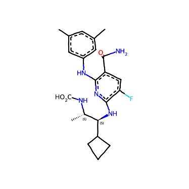 Cc1cc(C)cc(Nc2nc(N[C@@H](C3CCC3)[C@H](C)NC(=O)O)c(F)cc2C(N)=O)c1